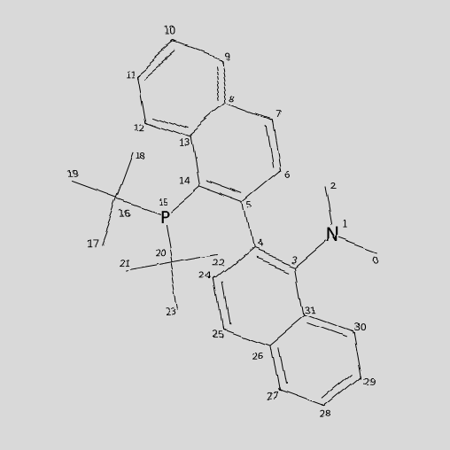 CN(C)c1c(-c2ccc3ccccc3c2P(C(C)(C)C)C(C)(C)C)ccc2ccccc12